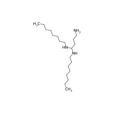 CCCCCCCCNC(CCCN)NCCCCCCCC